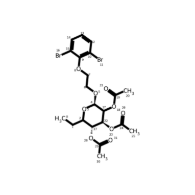 CCC1O[C@@H](OCCOc2c(Br)cccc2Br)C(OC(C)=O)[C@@H](OC(C)=O)[C@@H]1OC(C)=O